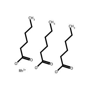 CCCCCC(=O)[O-].CCCCCC(=O)[O-].CCCCCC(=O)[O-].[Rh+3]